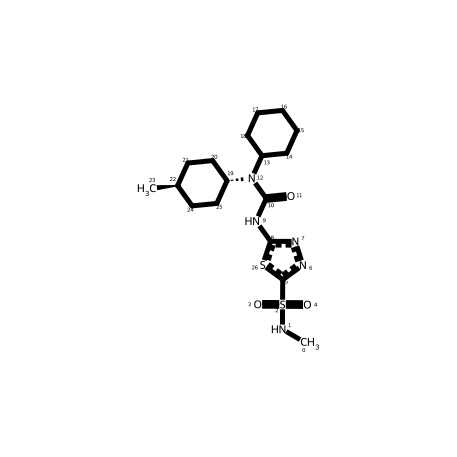 CNS(=O)(=O)c1nnc(NC(=O)N(C2CCCCC2)[C@H]2CC[C@H](C)CC2)s1